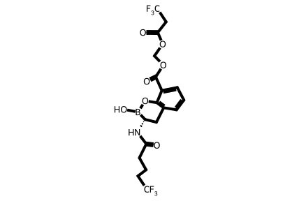 O=C(CCCC(F)(F)F)N[C@H]1Cc2cccc(C(=O)OCOC(=O)CC(F)(F)F)c2OB1O